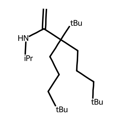 C=C(NC(C)C)C(CCCC(C)(C)C)(CCCC(C)(C)C)C(C)(C)C